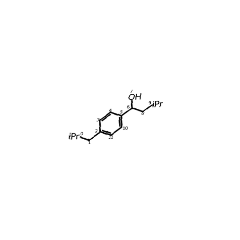 CC(C)Cc1ccc(C(O)CC(C)C)cc1